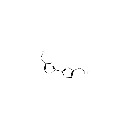 BrCc1csc(-c2nc(CBr)cs2)n1